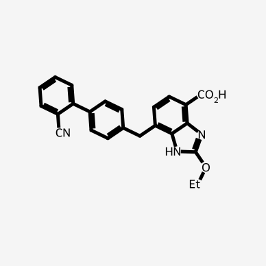 CCOc1nc2c(C(=O)O)ccc(Cc3ccc(-c4ccccc4C#N)cc3)c2[nH]1